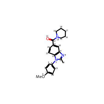 COc1ccc(-n2c(C)nc3cc(C(=O)N4CCCCC4)ccc32)cc1